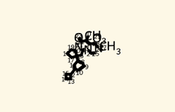 Cc1c2n(c(CC3(c4cccc(C5CCC5)c4)CCCC3)nc1=O)CCN(C)C2=O